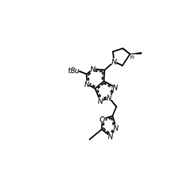 Cc1nnc(Cn2nc3nc(C(C)(C)C)nc(N4CC[C@@H](C)C4)c3n2)o1